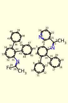 CC(=Nc1cccc(-c2ccccc2)c1-c1ccccc1)c1cccnc1.C[C]([Fe])=Nc1cccc(-c2ccccc2)c1-c1ccccc1